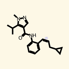 CC(C)c1c(C(=O)Nc2ccccc2/C=C\CC2CC2)cnn1C